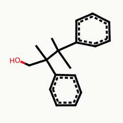 CC(C)(c1ccccc1)C(C)(CO)c1ccccc1